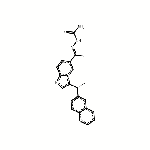 C/C(=N\NC(N)=O)c1ccc2ncc([C@H](C)c3ccc4ncccc4c3)n2n1